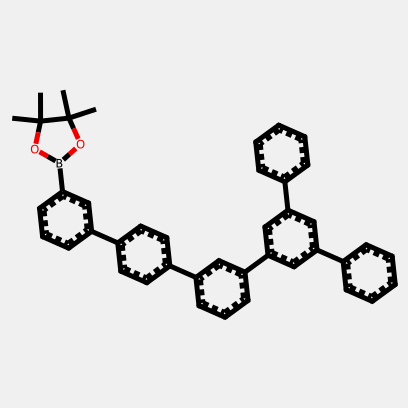 CC1(C)OB(c2cccc(-c3ccc(-c4cccc(-c5cc(-c6ccccc6)cc(-c6ccccc6)c5)c4)cc3)c2)OC1(C)C